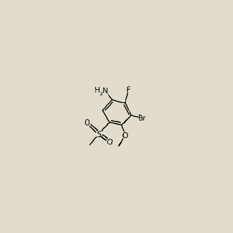 COc1c(S(C)(=O)=O)cc(N)c(F)c1Br